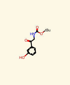 CC(C)(C)OC(=O)NCC(=O)c1cccc(O)c1